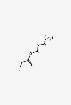 O=C(O)CCCOC(=O)CI